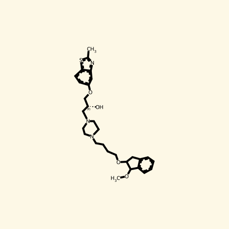 COC1c2ccccc2CC1OCCCCN1CCN(C[C@@H](O)COc2ccc3sc(C)nc3c2)CC1